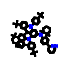 CC(C)(C)c1ccc(N2c3ccc(C(C)(C)C)cc3B3c4cc5c(cc4N(c4ccc(C(C)(C)C)cc4-c4ccccc4)c4cc(N6c7ccc(C8C=CC=CN8)cc7C7(C)CCCCC67C)cc2c43)C(C)(C)CCC5(C)C)cc1